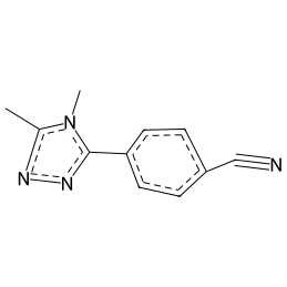 Cc1nnc(-c2ccc(C#N)cc2)n1C